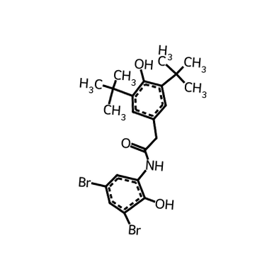 CC(C)(C)c1cc(CC(=O)Nc2cc(Br)cc(Br)c2O)cc(C(C)(C)C)c1O